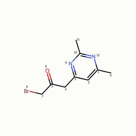 Cc1cc(CC(=O)CBr)nc(C)n1